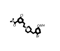 COc1ccc(Br)c(CC2CCN(CCc3cc(Cl)cc(C(=O)N(C)C)c3)CC2)c1